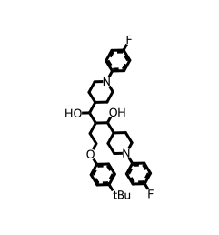 CC(C)(C)c1ccc(OCCC(C(O)C2CCN(c3ccc(F)cc3)CC2)C(O)C2CCN(c3ccc(F)cc3)CC2)cc1